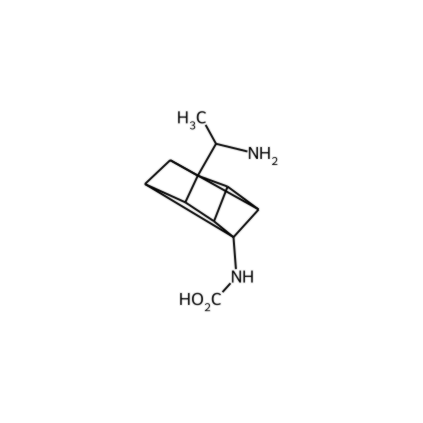 CC(N)C12C3C4C1C1C2C3C41NC(=O)O